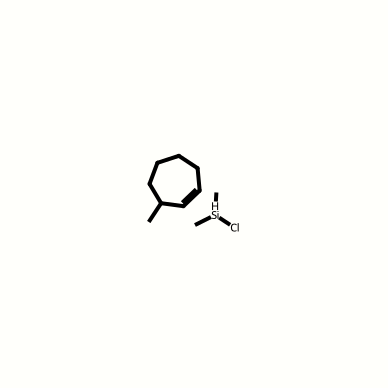 CC1C=CCCCC1.C[SiH](C)Cl